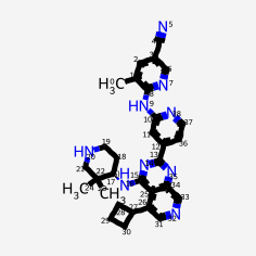 Cc1cc(C#N)cnc1Nc1cc(-c2nc(N[C@H]3CCNCC3(C)C)c3c(C4CCC4)cncc3n2)ccn1